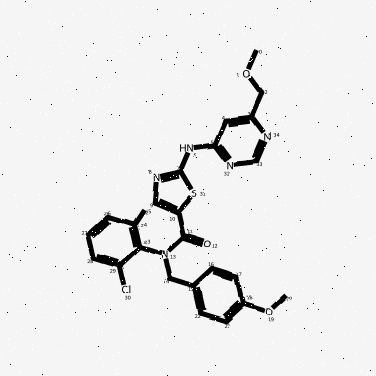 COCc1cc(Nc2ncc(C(=O)N(Cc3ccc(OC)cc3)c3c(C)cccc3Cl)s2)ncn1